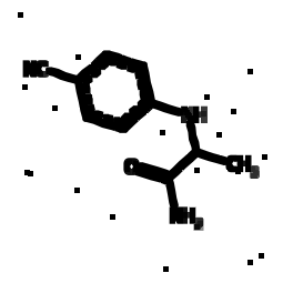 CC(Nc1ccc(C#N)cc1)C(N)=O